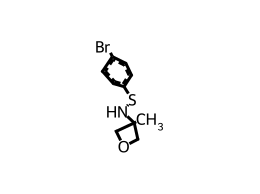 CC1(NSc2ccc(Br)cc2)COC1